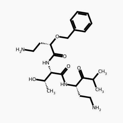 CC(C)C(=O)[C@H](CCN)NC(=O)[C@@H](NC(=O)[C@H](CCN)OCc1ccccc1)[C@H](C)O